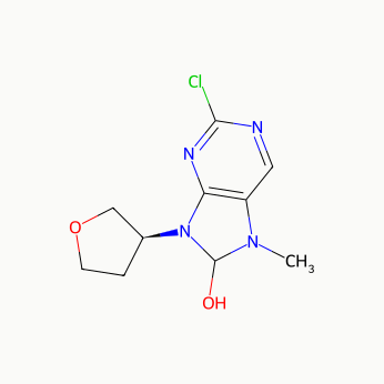 CN1c2cnc(Cl)nc2N([C@H]2CCOC2)C1O